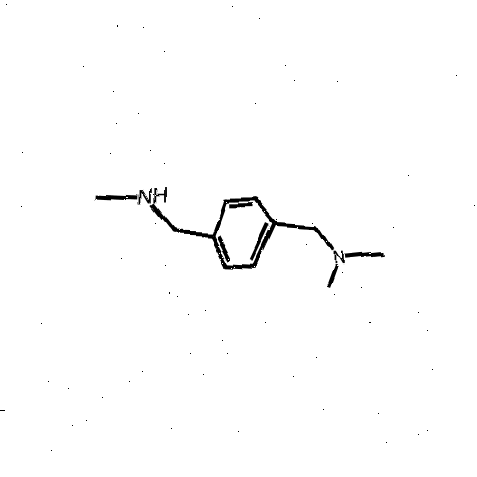 CNCc1ccc(CN(C)C)cc1